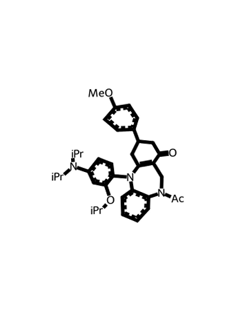 COc1ccc(C2CC(=O)C3=C(C2)N(c2ccc(N(C(C)C)C(C)C)cc2OC(C)C)c2ccccc2N(C(C)=O)C3)cc1